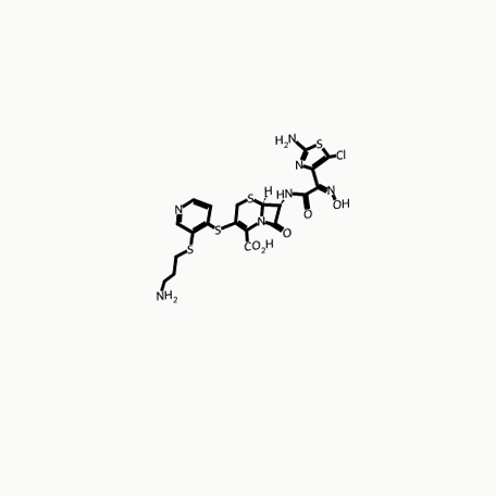 NCCCSc1cnccc1SC1=C(C(=O)O)N2C(=O)[C@@H](NC(=O)/C(=N\O)c3nc(N)sc3Cl)[C@@H]2SC1